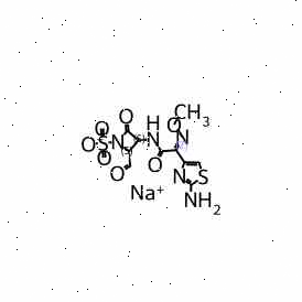 CO/N=C(\C(=O)N[C@@H]1C(=O)N(S(=O)(=O)[O-])[C@@H]1C=O)c1csc(N)n1.[Na+]